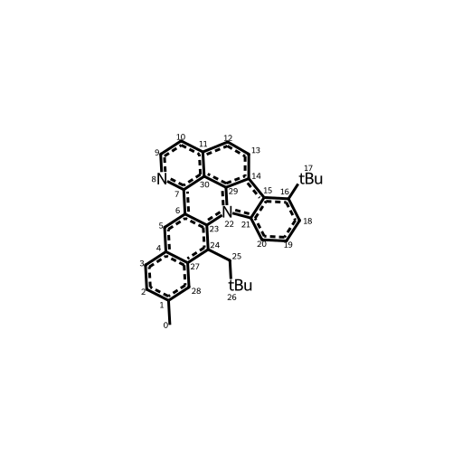 Cc1ccc2cc3c4nccc5ccc6c7c(C(C)(C)C)cccc7n(c3c(CC(C)(C)C)c2c1)c6c54